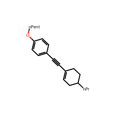 CCCCCOc1ccc(C#CC2=CCC(CCC)CC2)cc1